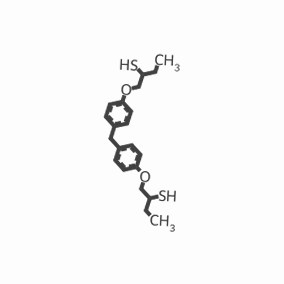 CCC(S)COc1ccc(Cc2ccc(OCC(S)CC)cc2)cc1